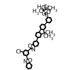 CC1(C)c2cc(-c3cccc(B4OC(C)(C)C(C)(C)O4)c3)ccc2-c2ccc(-c3ccc4nc(-c5cc(Cl)cc(-c6nc7ccccc7o6)c5)oc4c3)cc21